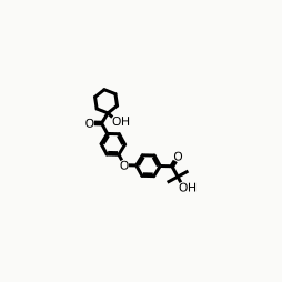 CC(C)(O)C(=O)c1ccc(Oc2ccc(C(=O)C3(O)CCCCC3)cc2)cc1